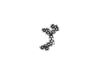 CC1(C)c2ccc(-c3ccc(N(c4ccc(-c5cccc6sc7ccccc7c56)cc4)c4ccc5c(c4)C(C)(C)c4ccccc4-5)cc3)cc2-c2ccc(-c3cccc4c3oc3ccccc34)cc21